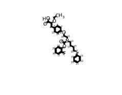 CCOC(Cc1ccc(OCCN(CCCCSc2ccccc2)C(=O)Oc2ccccc2F)cc1)C(=O)O